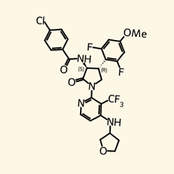 COc1cc(F)c([C@@H]2CN(c3nccc(NC4CCOC4)c3C(F)(F)F)C(=O)[C@H]2NC(=O)c2ccc(Cl)cc2)c(F)c1